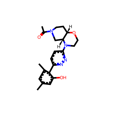 CC(=O)N1CC[C@@H]2OCCN(c3ccc(-c4c(C)cc(C)cc4O)nn3)[C@@H]2C1